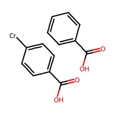 O=C(O)c1cc[c]([Cr])cc1.O=C(O)c1ccccc1